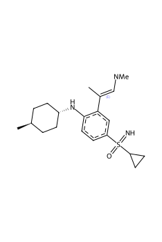 CN/C=C(\C)c1cc(S(=N)(=O)C2CC2)ccc1N[C@H]1CC[C@H](C)CC1